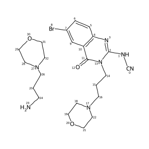 N#CNc1nc2ccc(Br)cc2c(=O)n1CCCN1CCOCC1.NCCCN1CCOCC1